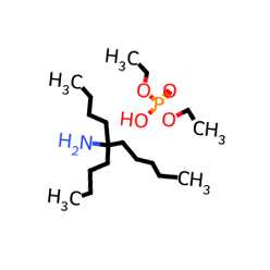 CCCCCC(N)(CCCC)CCCC.CCOP(=O)(O)OCC